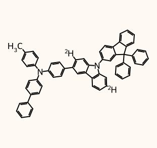 [2H]c1ccc2c3cc(-c4ccc(N(c5ccc(C)cc5)c5ccc(-c6ccccc6)cc5)cc4)c([2H])cc3n(-c3ccc4c(c3)C(c3ccccc3)(c3ccccc3)c3ccccc3-4)c2c1